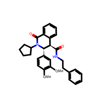 COc1ccc([C@H]2[C@H](C(=O)NCCc3ccccc3)c3ccccc3C(=O)N2C2CCCC2)cc1OC